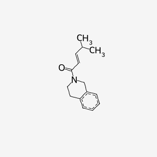 CC(C)/C=C/C(=O)N1CCc2ccccc2C1